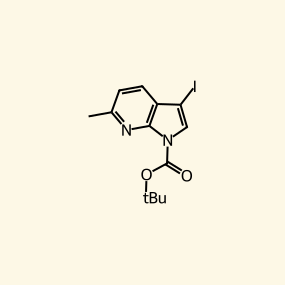 Cc1ccc2c(I)cn(C(=O)OC(C)(C)C)c2n1